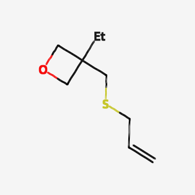 C=CCSCC1(CC)COC1